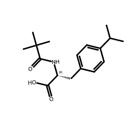 CC(C)c1ccc(C[C@@H](NC(=O)C(C)(C)C)C(=O)O)cc1